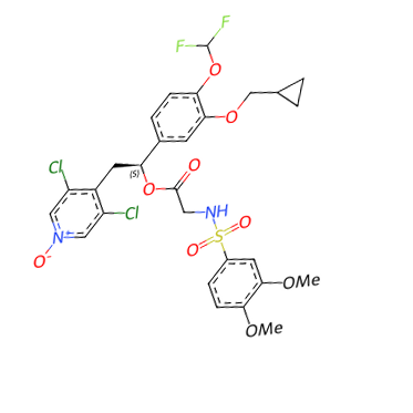 COc1ccc(S(=O)(=O)NCC(=O)O[C@@H](Cc2c(Cl)c[n+]([O-])cc2Cl)c2ccc(OC(F)F)c(OCC3CC3)c2)cc1OC